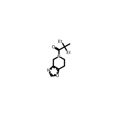 CCC(C)(CC)C(=O)N1CCc2ocnc2C1